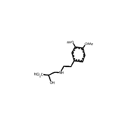 COc1ccc(CCNCC(O)C(=O)O)cc1OC